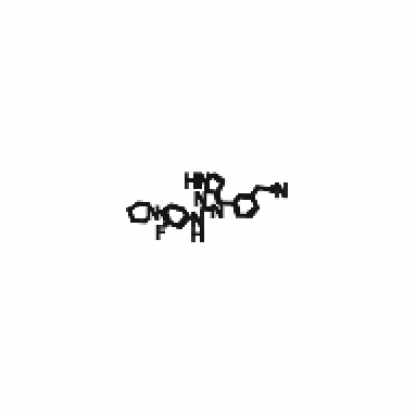 N#CCc1cccc(-c2nc(Nc3ccc(N4CCCCC4)c(F)c3)nc3[nH]ccc23)c1